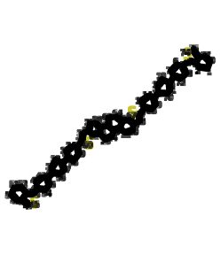 c1ccc2c(-c3ccc(-c4ccc(-c5ccc(-c6cc7ccc8c9ccc%10c(ccc%11cc(-c%12ccc(-c%13ccc(-c%14ccc(-c%15scc%16ccccc%15%16)cc%14)cc%13)cc%12)sc%11%10)c9ccc8c7s6)cc5)cc4)cc3)scc2c1